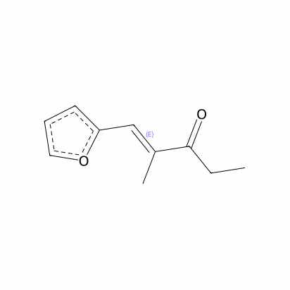 CCC(=O)/C(C)=C/c1ccco1